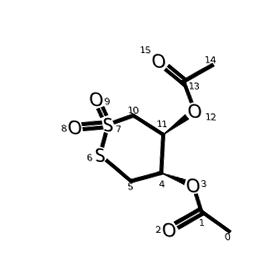 CC(=O)O[C@H]1CSS(=O)(=O)C[C@H]1OC(C)=O